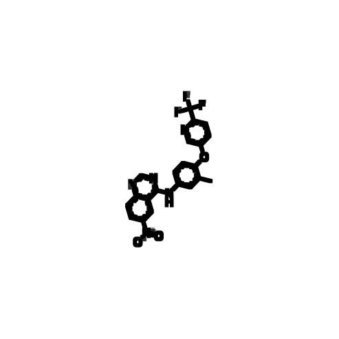 Cc1cc(Nc2ncnc3ccc([N+](=O)[O-])cc23)ccc1Oc1ccc(C(F)(F)F)nc1